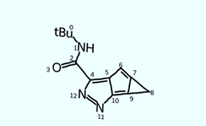 CC(C)(C)NC(=O)C1=C2C=C3CC3=C2N=N1